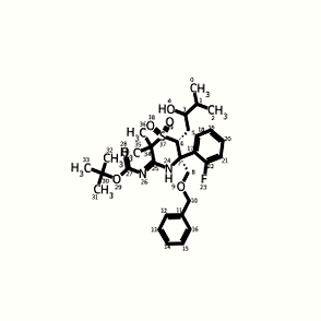 CC(C)C(O)C[C@@H]1[C@@](COCc2ccccc2)(c2ccccc2F)N/C(=N/C(=O)OC(C)(C)C)C(C)(C)S1(=O)=O